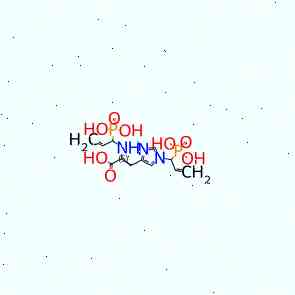 C=CC(N[C@@H](Cc1cn(C(C=C)P(=O)(O)O)cn1)C(=O)O)P(=O)(O)O